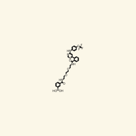 O=C(NCCOCCOCCNC(=O)c1ccccc1-c1cc(Nc2ccc(OC(F)(F)F)cc2)ncn1)c1cccc(B(O)O)c1